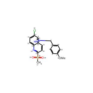 COc1ccc(CN2C=C3C(Cl)=CC=C4N=C(S(C)(=O)=O)C=CC43N2)cc1